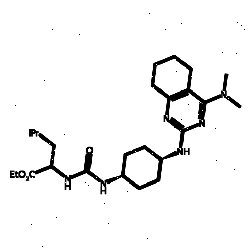 CCOC(=O)C(CC(C)C)NC(=O)N[C@H]1CC[C@@H](Nc2nc3c(c(N(C)C)n2)CCCC3)CC1